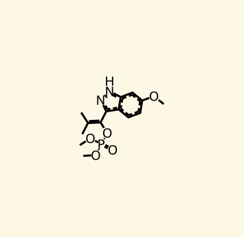 COc1ccc2c(C(OP(=O)(OC)OC)=C(C)C)n[nH]c2c1